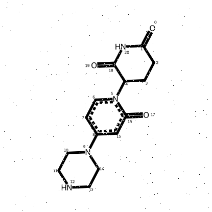 O=C1CCC(n2ccc(N3CCNCC3)cc2=O)C(=O)N1